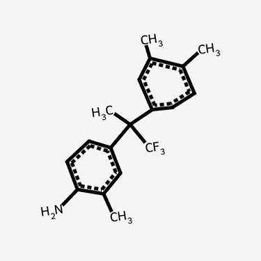 Cc1ccc(C(C)(c2ccc(N)c(C)c2)C(F)(F)F)cc1C